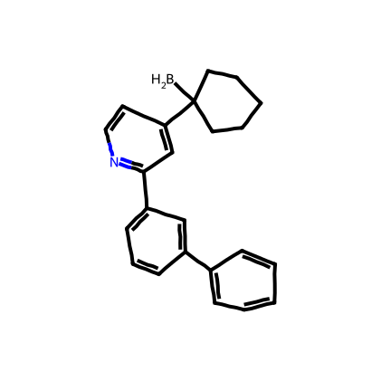 BC1(c2ccnc(-c3cccc(-c4ccccc4)c3)c2)CCCCC1